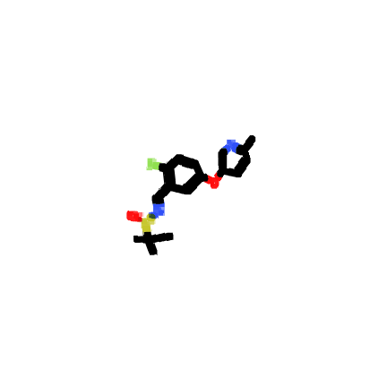 Cc1ccc(Oc2ccc(F)c(C=N[S@@+]([O-])C(C)(C)C)c2)cn1